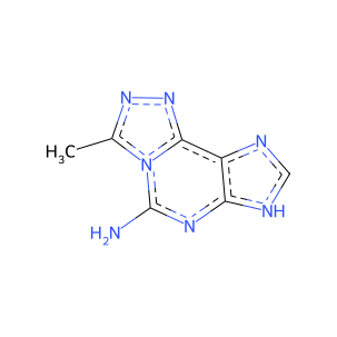 Cc1nnc2c3nc[nH]c3nc(N)n12